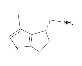 Cc1csc2c1[C@H](CN)CC2